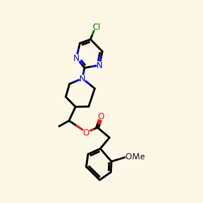 COc1ccccc1CC(=O)OC(C)C1CCN(c2ncc(Cl)cn2)CC1